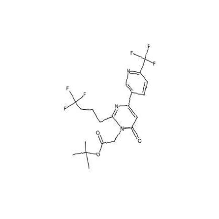 CC(C)(C)OC(=O)Cn1c(CCCC(F)(F)F)nc(-c2ccc(C(F)(F)F)nc2)cc1=O